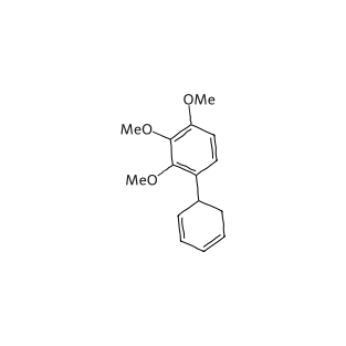 COc1ccc(C2C=CC=CC2)c(OC)c1OC